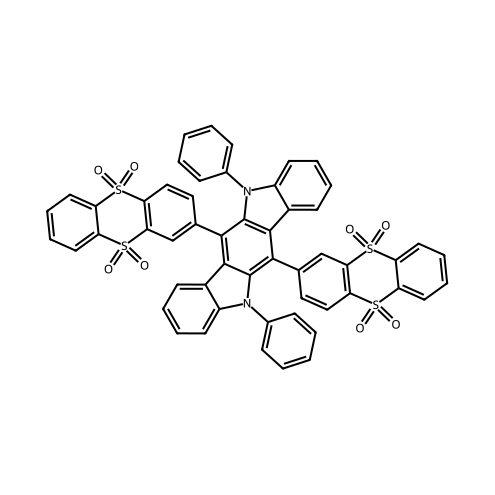 O=S1(=O)c2ccccc2S(=O)(=O)c2cc(-c3c4c5ccccc5n(-c5ccccc5)c4c(-c4ccc5c(c4)S(=O)(=O)c4ccccc4S5(=O)=O)c4c5ccccc5n(-c5ccccc5)c34)ccc21